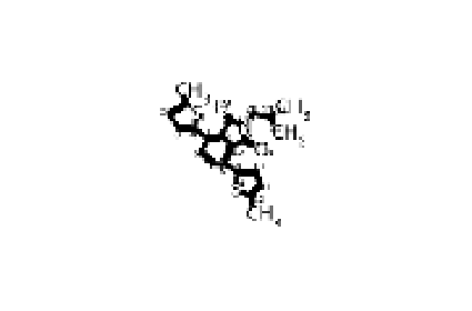 Cc1ccc(-c2ccc(-c3ccc(C)s3)c3c2C(=O)N(CC(C)C)C3=O)s1